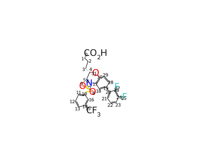 O=C(O)CCC[C@H]1CN(S(=O)(=O)c2cccc(C(F)(F)F)c2)c2cc(-c3cccc(F)c3F)ccc2O1